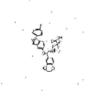 C[C@H](N)[C@H](Oc1ccc2c(cnn2-c2ccc(F)cc2)c1)c1ccc2c(c1)OCCO2.O=C(O)C(F)(F)F